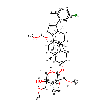 CCOCO[C@]12CC=C(c3cc(F)ccc3C)[C@@]1(C)CC[C@H]1[C@H]2CC[C@@H]2C[C@@H](O[C@@H]3O[C@@H](C)[C@@](O)(COCC)[C@@H](OC)[C@@]3(O)COCC)CC[C@@]21C